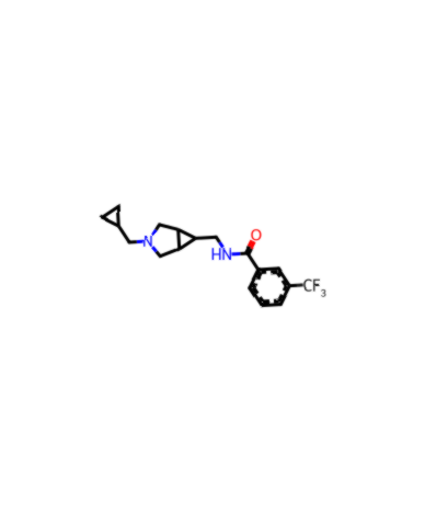 O=C(NCC1C2CN(CC3CC3)CC12)c1cccc(C(F)(F)F)c1